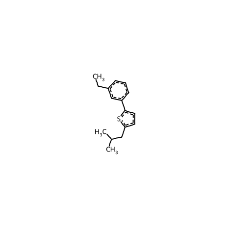 CCc1cccc(-c2ccc(CC(C)C)s2)c1